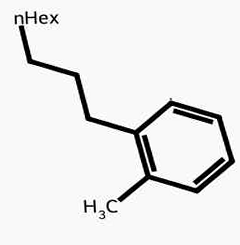 CCCCCCCCCc1[c]cccc1C